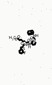 COC(=O)/C=C/CC[C@H](NC(=O)c1cc2cccc(F)c2s1)C(=O)Nc1cccn(CC(=O)NC2C3CC4CC(C3)CC2C4)c1=O